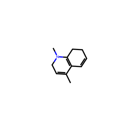 CC1=CCN(C)C2=C1C=CCC2